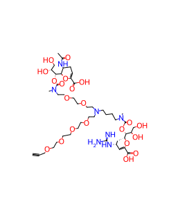 C#CCOCCOCCOCCOCCN(CCCCN(C)C(=O)O[C@H]([C@H](O)CO)[C@H]1C[C@@H](NC(=N)N)C=C(C(=O)O)O1)CCOCCOCCN(C)C(=O)O[C@@H]([C@@H]1OC(C(=O)O)=CC[C@H]1NC(C)=O)[C@H](O)CO